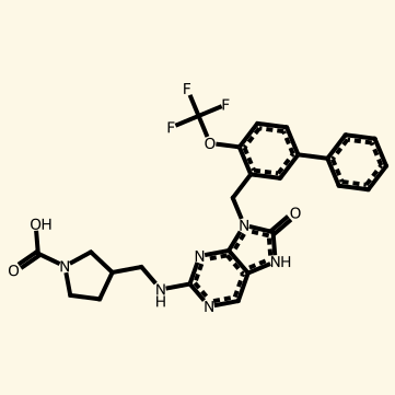 O=C(O)N1CCC(CNc2ncc3[nH]c(=O)n(Cc4cc(-c5ccccc5)ccc4OC(F)(F)F)c3n2)C1